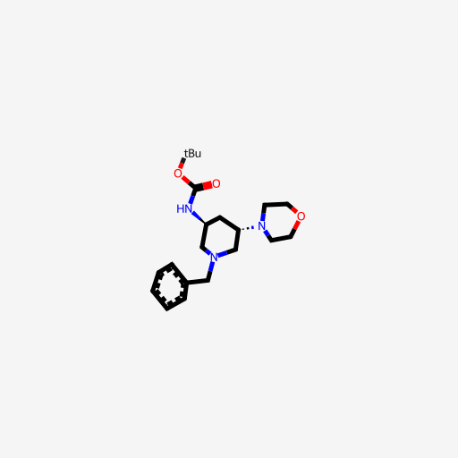 CC(C)(C)OC(=O)N[C@H]1C[C@H](N2CCOCC2)CN(Cc2ccccc2)C1